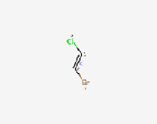 Cl/[C]=C/Br